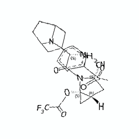 CS(=O)(=O)c1ccc(N2C3CCC2CC([C@H](N)C(=O)N2[C@H](C#N)C[C@@H]4C[C@]42OC(=O)C(F)(F)F)C3)cc1